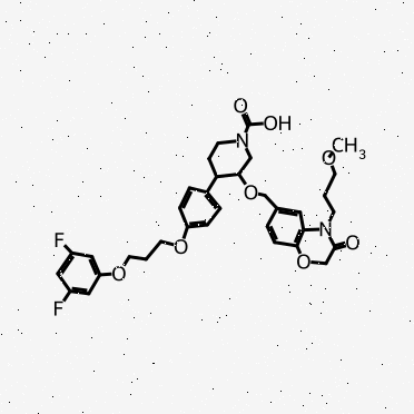 COCCCN1C(=O)COc2ccc(COC3CN(C(=O)O)CCC3c3ccc(OCCCOc4cc(F)cc(F)c4)cc3)cc21